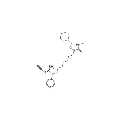 CNC(=S)N(CCCCCCCN(C(N)=NC#N)c1ccncc1)OCC1CCCCC1